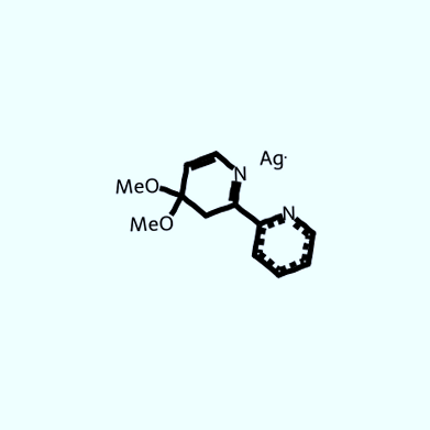 COC1(OC)C=CN=C(c2ccccn2)C1.[Ag]